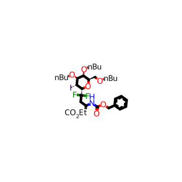 CCCCOC[C@H]1O[C@H](C(F)(F)CC(NC(=O)OCc2ccccc2)C(=O)OCC)[C@H](I)[C@@H](OCCCC)[C@H]1OCCCC